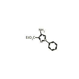 CCOC(=O)c1nn(-c2ccccc2)cc1N